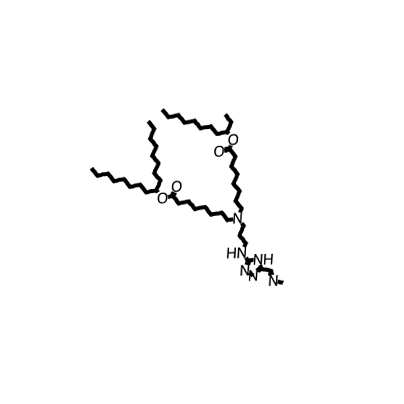 CCCCCCCCC(CC)OC(=O)CCCCCCCN(CCCCCCCC(=O)OC(CCCCCCCC)CCCCCCCC)CCCNc1nnc(C=NC)[nH]1